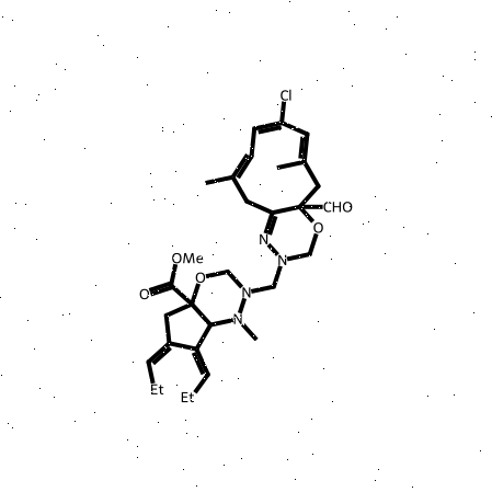 CCC=C1/C(=C\CC)CC2(C(=O)OC)OCN(CN3COC4(C=O)C/C(C)=C/C(Cl)=C\C=C(/C)CC4=N3)N(C)C12